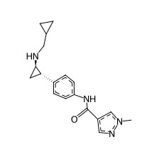 Cn1cc(C(=O)Nc2ccc([C@@H]3C[C@H]3NCC3CC3)cc2)cn1